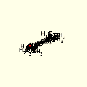 COC(=O)N[C@H](C(=O)N1CC(C)(C)C[C@H]1c1nc2cc(-c3cc4sc(-c5ccc6[nH]c([C@@H]7CC(C)(C)CN7C(=O)[C@@H](NC(=O)OC)C(C)C)nc6c5)cc4s3)ccc2[nH]1)C(C)C